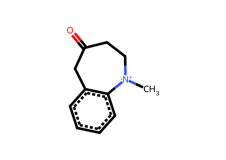 C[N+]1CCC(=O)Cc2ccccc21